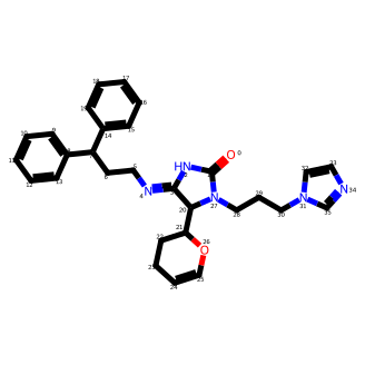 O=C1NC(=NCCC(c2ccccc2)c2ccccc2)C(C2CCC=CO2)N1CCCn1ccnc1